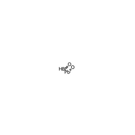 [O]=[BiH].[O]=[Pb]